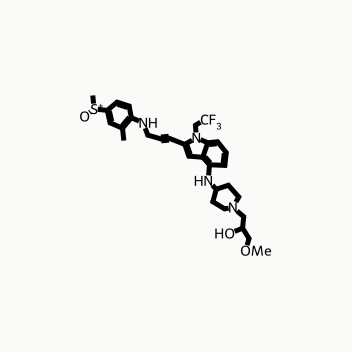 COCC(O)CN1CCC(Nc2cccc3c2cc(C#CCNc2ccc([S+](C)[O-])cc2C)n3CC(F)(F)F)CC1